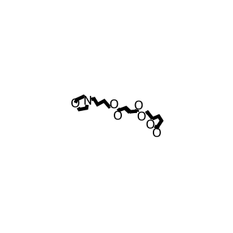 O=C(/C=C/C(=O)OCC1CCC(=O)O1)OCCCCN1CCOCC1